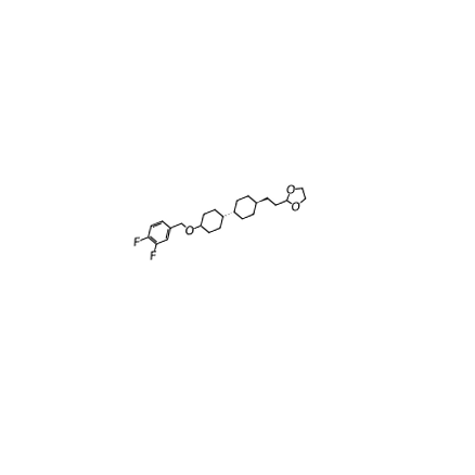 Fc1ccc(COC2CCC([C@H]3CC[C@H](CCC4OCCO4)CC3)CC2)cc1F